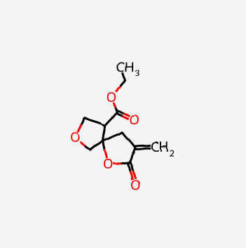 C=C1CC2(COCC2C(=O)OCC)OC1=O